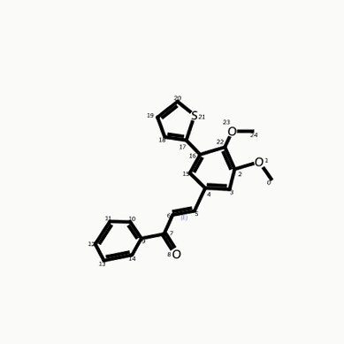 COc1cc(/C=C/C(=O)c2ccccc2)cc(-c2cccs2)c1OC